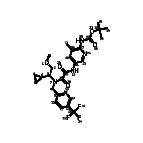 COC[C@H](C1CC1)N(Cc1ccc(C(F)(F)F)cn1)C(=O)C(=O)Nc1cnc(NC(=O)OC(C)(C)C)c(C)c1